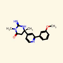 COc1cccc(-c2cc([C@]3(C)CC(=O)N(C)C(=N)N3)ccn2)c1